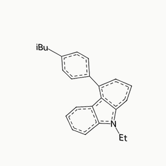 CCC(C)c1ccc(-c2cccc3c2c2ccccc2n3CC)cc1